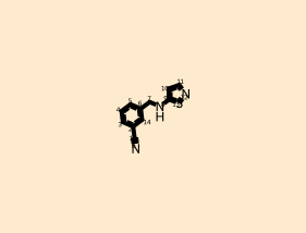 N#Cc1cccc(CNc2ccns2)c1